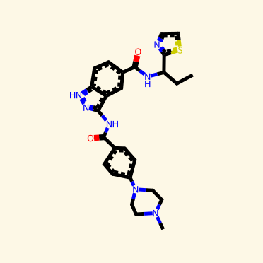 CCC(NC(=O)c1ccc2[nH]nc(NC(=O)c3ccc(N4CCN(C)CC4)cc3)c2c1)c1nccs1